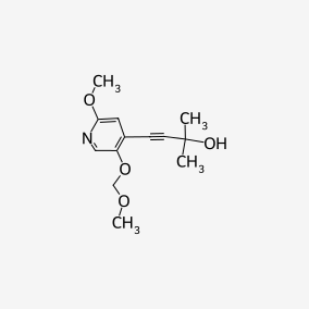 COCOc1cnc(OC)cc1C#CC(C)(C)O